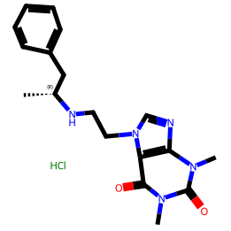 C[C@H](Cc1ccccc1)NCCn1cnc2c1c(=O)n(C)c(=O)n2C.Cl